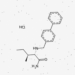 CC[C@H](C)[C@H](NCc1ccc(-c2ccccc2)cc1)C(N)=O.Cl